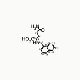 NC(=O)CC[C@H](NCc1cccc2ccccc12)C(=O)O